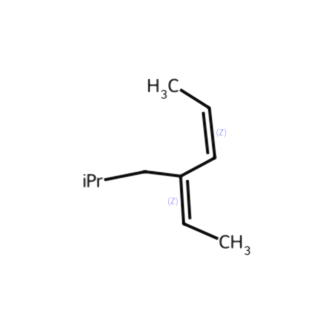 C/C=C\C(=C/C)CC(C)C